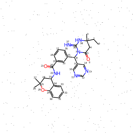 CCC1(C)CC(=O)N(C(c2cncnc2)c2cccc(C(=O)NC3CC(C)(C)Oc4ccccc43)c2)C(=N)N1